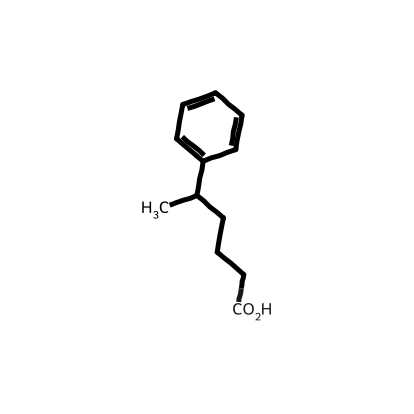 CC(CCCC(=O)O)c1ccccc1